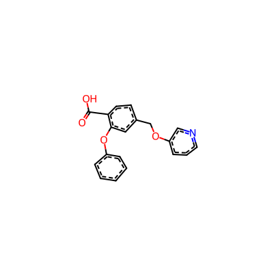 O=C(O)c1ccc(COc2cccnc2)cc1Oc1ccccc1